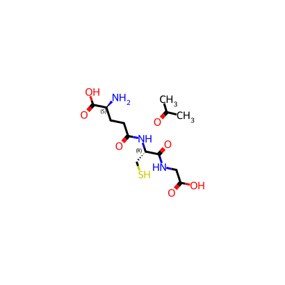 CC(C)=O.N[C@@H](CCC(=O)N[C@@H](CS)C(=O)NCC(=O)O)C(=O)O